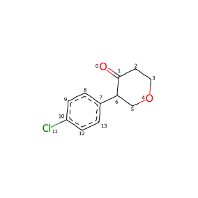 O=C1CCOCC1c1ccc(Cl)cc1